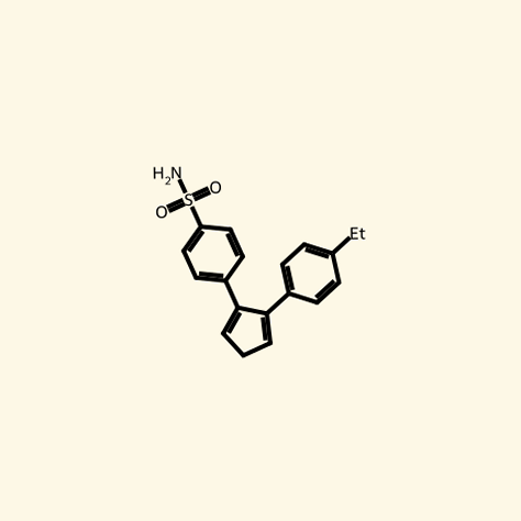 CCc1ccc(C2=CCC=C2c2ccc(S(N)(=O)=O)cc2)cc1